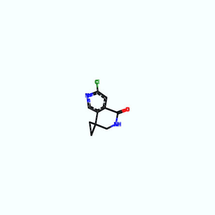 O=C1NCC2(CC2)c2cnc(Cl)cc21